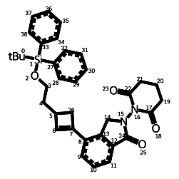 CC(C)(C)[Si](OCCC1C=C(c2cccc3c2CN(N2C(=O)CCCC2=O)C3=O)C1)(c1ccccc1)c1ccccc1